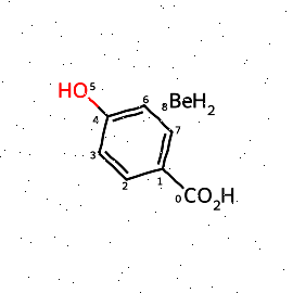 O=C(O)c1ccc(O)cc1.[BeH2]